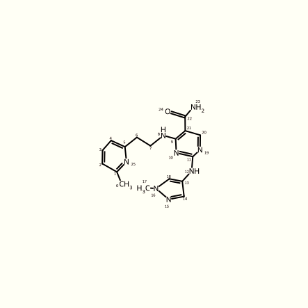 Cc1cccc(CCNc2nc(Nc3cnn(C)c3)ncc2C(N)=O)n1